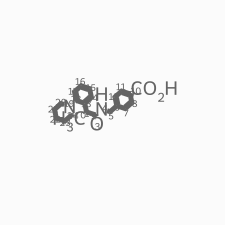 CC(C(=O)NCc1ccc(C(=O)O)cc1)c1ccccc1N1CCCCC1